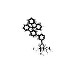 CC1(C)OB(c2cccc(-c3ccc4c(c3)C3(c5ccccc5-c5ccccc53)c3ccccc3-4)c2)OC1(C)C